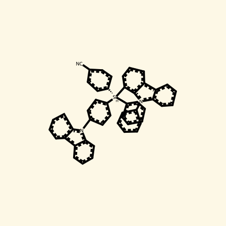 N#Cc1ccc([Si@](c2ccccc2)(c2ccc(-n3c4ccccc4c4ccccc43)cc2)c2cccc3c4ccccc4n(-c4ccccc4)c23)cc1